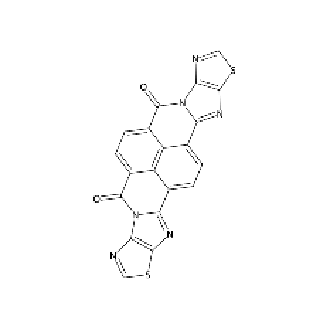 O=c1c2ccc3c(=O)n4c5ncsc5nc4c4ccc(c2c34)c2nc3scnc3n12